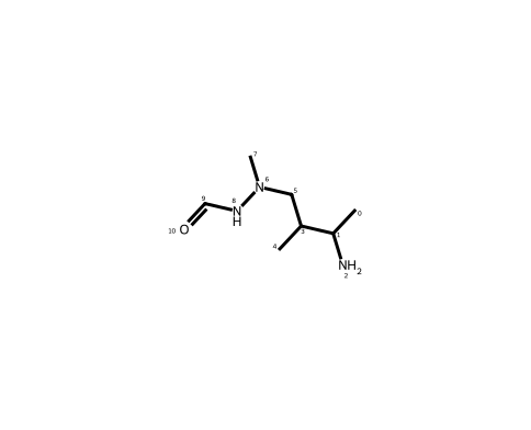 CC(N)C(C)CN(C)NC=O